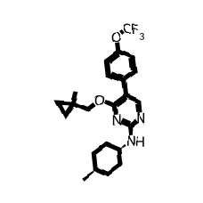 CC1(COc2nc(N[C@H]3CC[C@H](C)CC3)ncc2-c2ccc(OC(F)(F)F)cc2)CC1